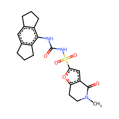 CN1CCc2oc(S(=O)(=O)NC(=O)Nc3c4c(cc5c3CCC5)CCC4)cc2C1=O